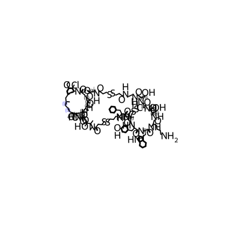 COc1cc2cc(c1Cl)N(C)C(=O)C[C@H](OC(=O)[C@H](C)NC(=O)CCSSCCC(=O)NCCNC(=O)[C@@H](NC(=O)[C@@H]1CSSC[C@H](NC(=O)C(Cc3ccccc3)NCCCSSCCC(=O)N(C)C(C)C(=O)O)C(=O)NC(Cc3ccc(O)cc3)C(=O)N[C@H](Cc3c[nH]c4ccccc34)C(=O)NC(CCCCN)C(=O)N[C@@H]([C@@H](C)O)C(=O)N1)[C@@H](C)O)[C@]1(C)O[C@H]1C(C)[C@@H]1C[C@@](O)(NC(=O)O1)[C@H](OC)/C=C/C=C(\C)C2